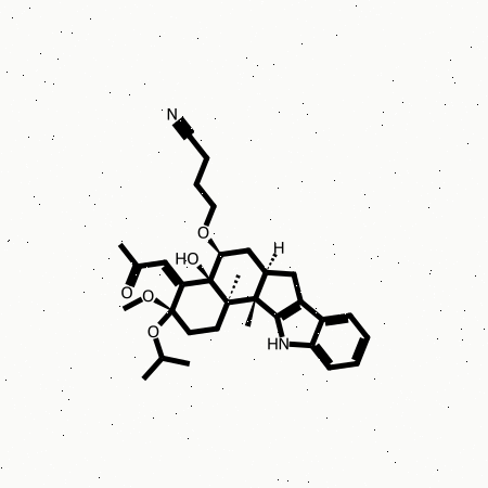 CO[C@]1(OC(C)C)CC[C@]2(C)[C@@]3(C)c4[nH]c5ccccc5c4C[C@@H]3C[C@H](OCCCC#N)[C@@]2(O)/C1=C/C(C)=O